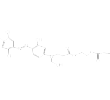 CCN(CCC(=O)OCCOC(=O)CCl)c1ccc(/N=N/c2cc(Cl)c(F)cc2Cl)c(C)c1